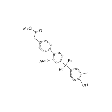 CCC(CC)(c1ccc(O)c(C)c1)c1ccc(-c2ccc(CC(=O)OC)cc2)c(OC)c1